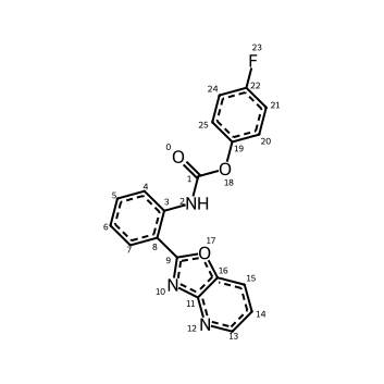 O=C(Nc1ccccc1-c1nc2ncccc2o1)Oc1ccc(F)cc1